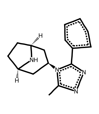 Cc1nnc(-c2ccccc2)n1[C@H]1C[C@H]2CC[C@@H](C1)N2